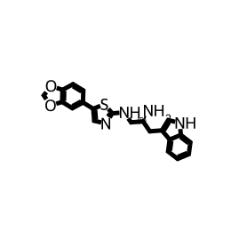 N[C@@H](CNc1ncc(-c2ccc3c(c2)OCO3)s1)Cc1c[nH]c2ccccc12